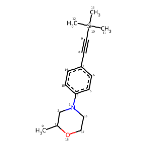 CC1CN(c2ccc(C#C[Si](C)(C)C)cc2)CCO1